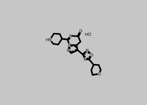 Cl.O=C1Cc2c(-c3noc(C4CCOCC4)n3)cnn2C(C2CCNCC2)=N1